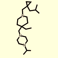 CCC1(CN2CCN(C(C)C)CC2)CCN(CC2(CC(C)C)CC2)CC1